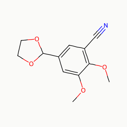 COc1cc(C2OCCO2)cc(C#N)c1OC